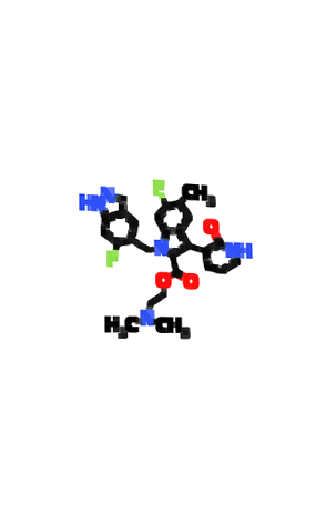 Cc1cc2c(-c3ccc[nH]c3=O)c(C(=O)OCCN(C)C)n(Cc3cc4cn[nH]c4cc3F)c2cc1F